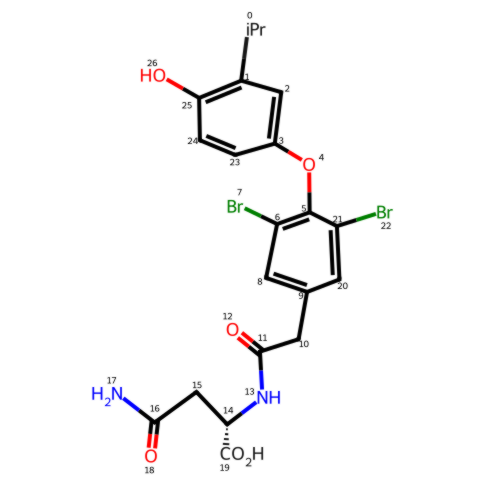 CC(C)c1cc(Oc2c(Br)cc(CC(=O)N[C@@H](CC(N)=O)C(=O)O)cc2Br)ccc1O